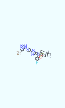 CC(C)(C)[S@+]([O-])/N=C(\c1ccc(F)cc1)c1cnc(C2=CCN(c3ncnn4cc(Br)cc34)CC2)nc1